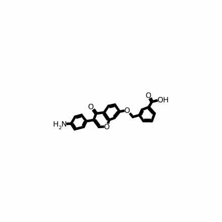 Nc1ccc(-c2coc3cc(OCc4cccc(C(=O)O)c4)ccc3c2=O)cc1